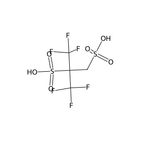 O=S(=O)(O)CC(C(F)(F)F)(C(F)(F)F)S(=O)(=O)O